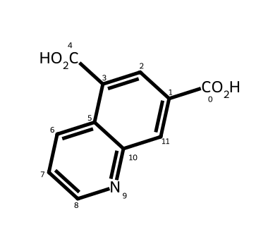 O=C(O)c1cc(C(=O)O)c2cccnc2c1